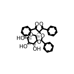 O=C(OC(C(=O)c1ccccc1)(C(=O)c1ccccc1)[C@@H]1C[C@H](O)[C@@H](O)[C@@H](O)O1)c1ccccc1